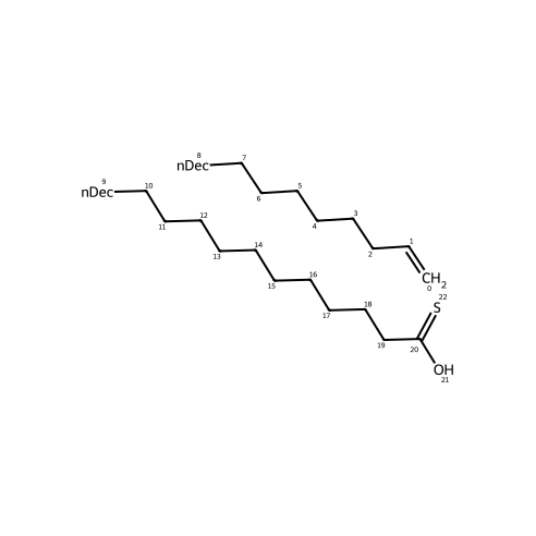 C=CCCCCCCCCCCCCCCCC.CCCCCCCCCCCCCCCCCCCCC(O)=S